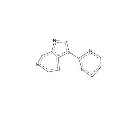 c1cnc(-n2cnc3cnccc32)nc1